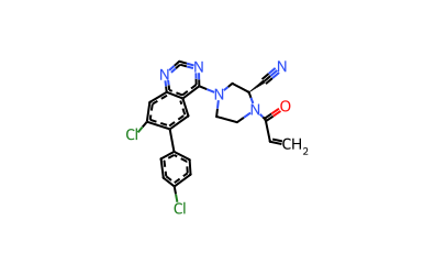 C=CC(=O)N1CCN(c2ncnc3cc(Cl)c(-c4ccc(Cl)cc4)cc23)C[C@H]1C#N